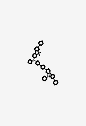 CC1(C)c2cc(-c3ccccc3)ccc2-c2ccc(N(c3ccccc3)c3ccc(-c4ccc(-c5ccc6c7ccc(-c8ccccc8)cc7n(-c7ccccc7)c6c5)cc4)cc3)cc21